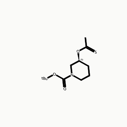 CC(=S)O[C@H]1CCCN(C(=O)OC(C)(C)C)C1